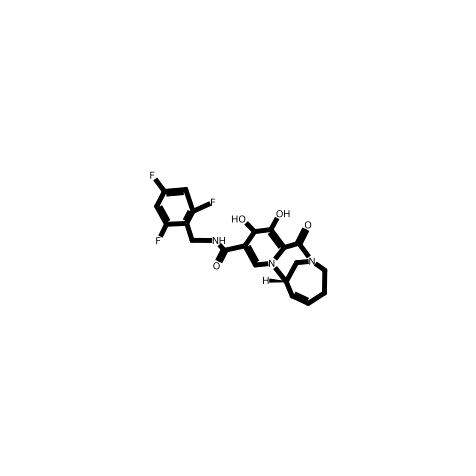 O=C(NCc1c(F)cc(F)cc1F)C1=CN2C(=C(O)C1O)C(=O)N1CCC=C[C@H]2C1